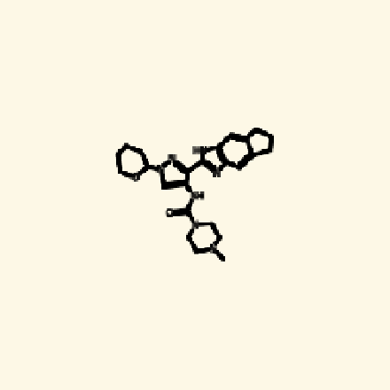 CN1CCN(C(=O)Nc2cn(C3CCCCO3)nc2-c2nc3cc4c(cc3[nH]2)CCC4)CC1